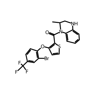 CC1CNc2ccccc2N1C(=O)c1sccc1Oc1ccc(C(F)(F)F)cc1Br